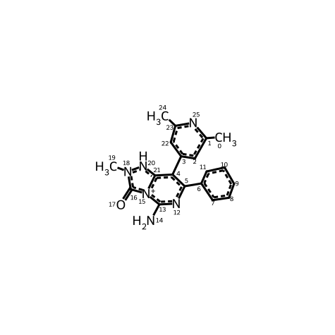 Cc1cc(-c2c(-c3ccccc3)nc(N)[n+]3c(=O)n(C)[nH]c23)cc(C)n1